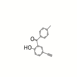 C#Cc1ccc(O)c(C(=O)c2ccc(C)cc2)c1